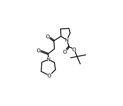 CC(C)(C)OC(=O)N1CCCC1C(=O)CC(=O)N1CCOCC1